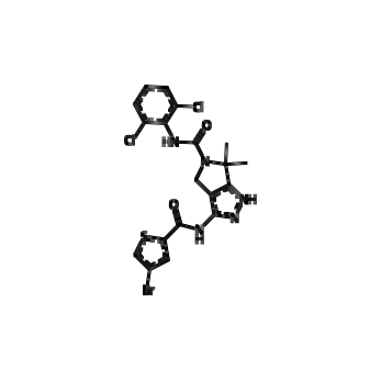 CC1(C)c2[nH]nc(NC(=O)c3cc(Br)cs3)c2CN1C(=O)Nc1c(Cl)cccc1Cl